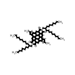 Bc1cc2c3cc4c(=O)n(CC(CCCCCCCC)CCCCCCCCCC)c(=O)c5cc6c7sc(C)cc7c7cc8c(=O)n(CC(CCCCCCCC)CCCCCCCCCC)c(=O)c9cc(c2s1)c1c3c(c45)c6c7c1c89